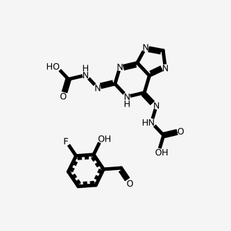 O=C(O)NN=C1N=C2N=CN=C2C(=NNC(=O)O)N1.O=Cc1cccc(F)c1O